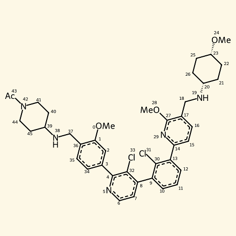 COc1cc(-c2nccc(-c3cccc(-c4ccc(CN[C@H]5CC[C@@H](OC)CC5)c(OC)n4)c3Cl)c2Cl)ccc1CNC1CCN(C(C)=O)CC1